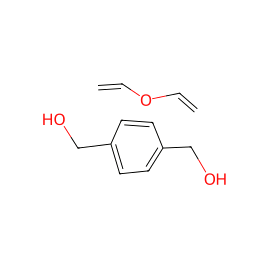 C=COC=C.OCc1ccc(CO)cc1